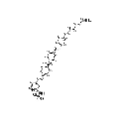 CC(C)(c1ccc(OCc2ccnc(NS(C)(=O)=O)n2)cc1)c1ccc(OC[C@H]2CC[C@H](COCCCCCN)CC2)cc1